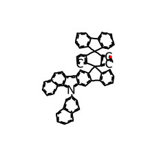 c1ccc2c(c1)-c1ccccc1C21c2ccccc2C2(c3ccccc3-c3cc4c(cc32)c2ccc3ccccc3c2n4-c2ccc3ccccc3c2)c2ccccc21